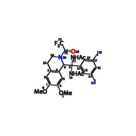 COc1cc2c(cc1OC)C(C(NC(C)=O)(NC(C)=O)c1cc(I)cc(I)c1)N(C(=O)C(F)(F)F)CC2